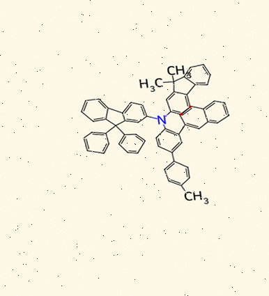 Cc1ccc(-c2ccc(N(c3ccc4c(c3)C(C)(C)c3ccccc3-4)c3ccc4c(c3)C(c3ccccc3)(c3ccccc3)c3ccccc3-4)c(-c3ccc4ccccc4c3)c2)cc1